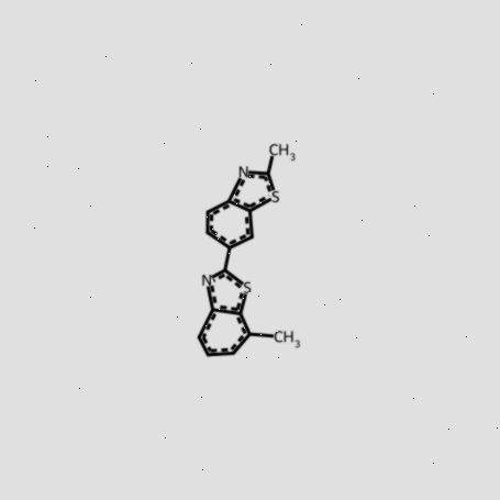 Cc1nc2ccc(-c3nc4cccc(C)c4s3)cc2s1